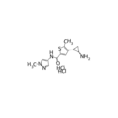 Cc1sc(C(=O)Nc2cnn(C)c2)cc1[C@@H]1C[C@H]1N.Cl.Cl